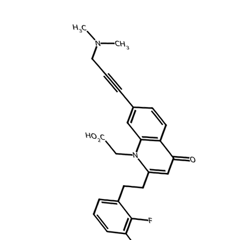 CN(C)CC#Cc1ccc2c(=O)cc(CCc3cccc(F)c3F)n(CC(=O)O)c2c1